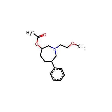 COCCN1CC(OC(C)=O)CCC(c2ccccc2)C1